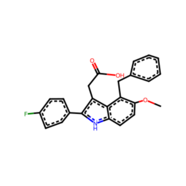 COc1ccc2[nH]c(-c3ccc(F)cc3)c(CC(=O)O)c2c1Cc1ccccc1